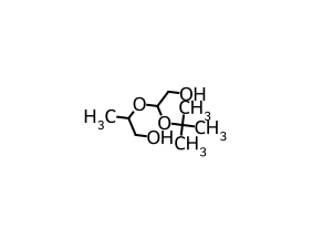 CC(CO)OC(CO)OC(C)(C)C